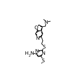 CSc1cc(N)nc(SCCc2cc3c(CN(C)C)coc3cn2)n1